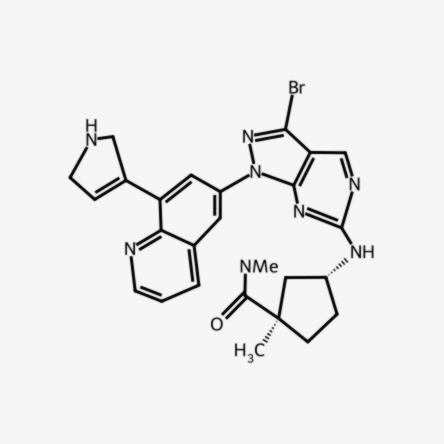 CNC(=O)[C@]1(C)CC[C@@H](Nc2ncc3c(Br)nn(-c4cc(C5=CCNC5)c5ncccc5c4)c3n2)C1